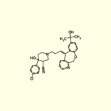 CC(C)(O)c1ccc2c(c1)/C(=C/CCN1CCC(O)(c3ccc(Cl)cc3)C(C#N)C1)c1cccnc1CO2